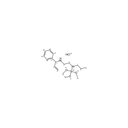 C=CC(NCCN(CCC)[Si](OC)(OC)OC)c1ccccc1.Cl